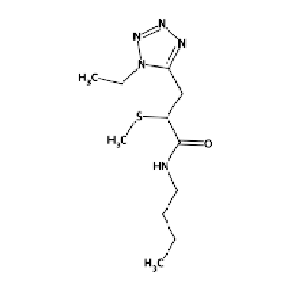 CCCCNC(=O)C(Cc1nnnn1CC)SC